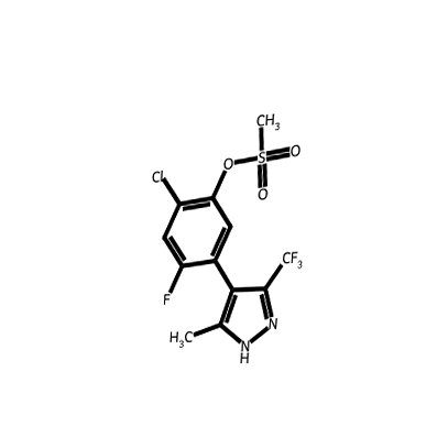 Cc1[nH]nc(C(F)(F)F)c1-c1cc(OS(C)(=O)=O)c(Cl)cc1F